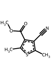 COC(=O)c1c(C)sc(C)c1C#N